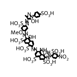 COc1cc(S(=O)(=O)O)c(/N=N/c2c(C)nn(-c3ccc(S(=O)(=O)O)cc3)c2O)cc1N=Nc1c(S(=O)(=O)O)cc2c(S(=O)(=O)O)c(N=Nc3cc(S(=O)(=O)O)c4cc(S(=O)(=O)O)c(N=Nc5ccc([N+](=O)[O-])cc5S(=O)(=O)O)c(O)c4c3N)ccc2c1O